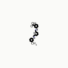 Cc1cccc(/N=C/c2cccc(/C=N/c3cccc(C(=O)O)c3)n2)c1